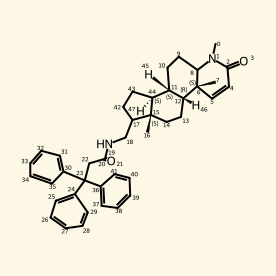 CN1C(=O)C=C[C@@]2(C)C1CC[C@@H]1[C@H]2CC[C@]2(C)C(CNC(=O)CC(c3ccccc3)(c3ccccc3)c3ccccc3)CC[C@@H]12